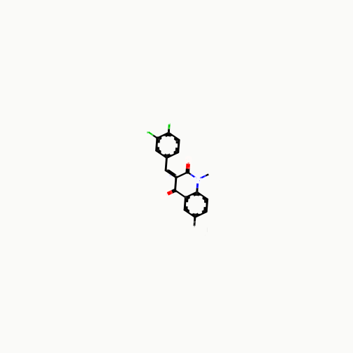 CN1C(=O)/C(=C\c2ccc(Cl)c(Cl)c2)C(=O)c2cc(C(=O)O)ccc21